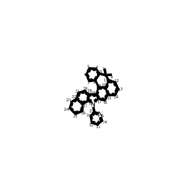 CC1(C)c2ccccc2-c2c3c1cccc3cc1c2c2ccc3ccccc3c2n1-c1ccccn1